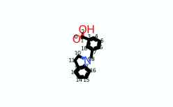 O=C(O)c1cccc(CN2CCc3ccccc32)c1